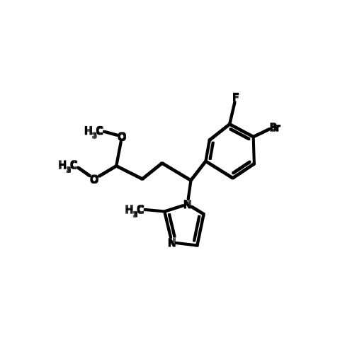 COC(CCC(c1ccc(Br)c(F)c1)n1ccnc1C)OC